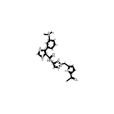 CC(=O)c1ccc(Cn2ncc(NC(=O)c3ncoc3-c3cccc(N(C)C)c3)n2)s1